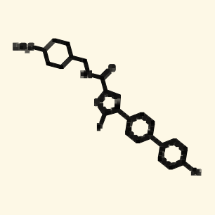 CCOC(=O)C1CCC(CNC(=O)c2cc(-c3ccc(-c4ccc(C(C)=O)cc4)cc3)c(F)s2)CC1